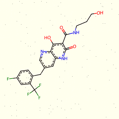 O=C(NCCCO)c1c(O)c2ncc(Cc3ccc(F)cc3C(F)(F)F)cc2[nH]c1=O